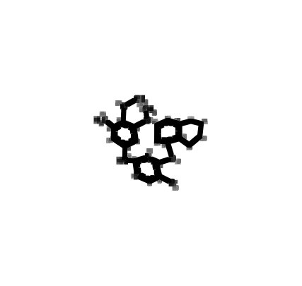 COc1cc(Nc2ncc(Br)c(Oc3cccc4c3CCCC4)n2)cc(C)c1OC